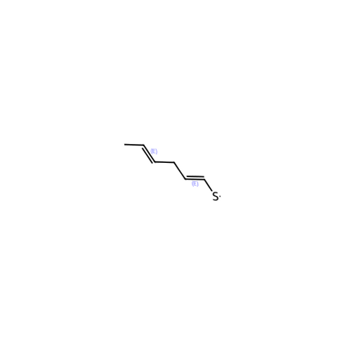 C/C=C/C/C=C/[S]